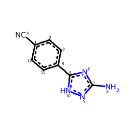 N#Cc1ccc(-c2nc(N)n[nH]2)cc1